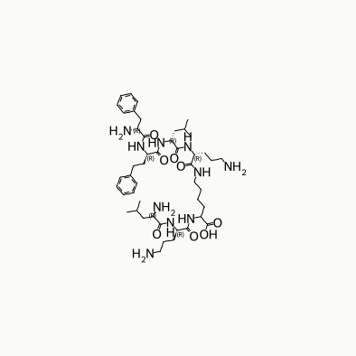 CC(C)C[C@@H](N)C(=O)N[C@H](CCCN)C(=O)NC(CCCCNC(=O)[C@@H](CCCN)NC(=O)[C@@H](CC(C)C)NC(=O)[C@@H](CCc1ccccc1)NC(=O)[C@H](N)Cc1ccccc1)C(=O)O